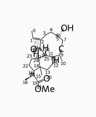 C/C=C1\CC[C@H](O)CCC(C)[C@H]2CCC3(C)C([C@H](C)C(=O)OC)CC[C@H]3[C@@H]2C1=O